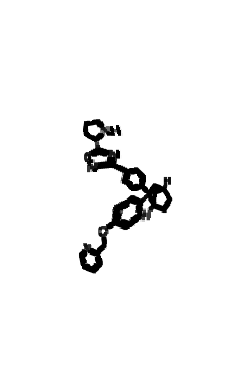 c1ccc(COc2ccc([C@@]3(c4ccc(-c5noc([C@@H]6CCCN6)n5)cc4)C[C@@H]4CC[C@H]3C4)cc2)nc1